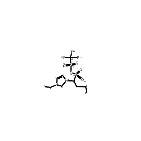 CCCC(N1C=CN(CC)C1)S(=O)(=O)OS(=O)(=O)C(F)(F)F